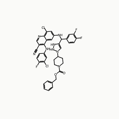 N#Cc1cnc2c(Cl)cc(NC(C3=CN(C4CCN(C(=O)OCc5ccccc5)CC4)NN3)c3ccc(F)c(F)c3)cc2c1Nc1ccc(F)c(Cl)c1